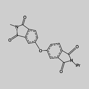 CC(C)N1C(=O)c2ccc(Oc3ccc4c(c3)C(=O)N(C)C4=O)cc2C1=O